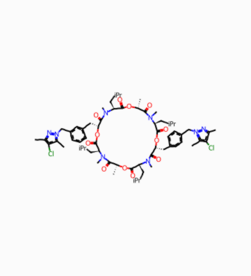 Cc1nn(Cc2ccc(C[C@H]3OC(=O)[C@H](CC(C)C)N(C)C(=O)[C@@H](C)OC(=O)[C@H](CC(C)C)N(C)C(=O)[C@@H](Cc4cccc(Cn5nc(C)c(Cl)c5C)c4)OC(=O)[C@H](CC(C)C)N(C)C(=O)[C@@H](C)OC(=O)[C@H](CC(C)C)N(C)C3=O)cc2)c(C)c1Cl